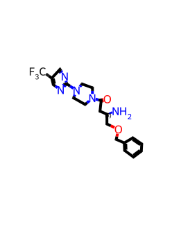 N[C@@H](COCc1ccccc1)CC(=O)N1CCN(c2ncc(C(F)(F)F)cn2)CC1